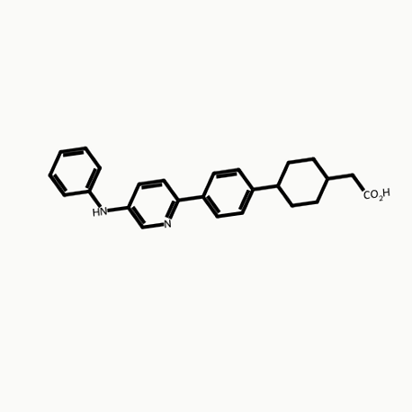 O=C(O)CC1CCC(c2ccc(-c3ccc(Nc4ccccc4)cn3)cc2)CC1